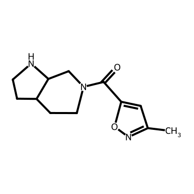 Cc1cc(C(=O)N2CCC3CCNC3C2)on1